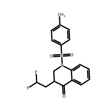 Cc1ccc(S(=O)(=O)N2CC(CC(F)F)C(=O)c3ccccc32)cc1